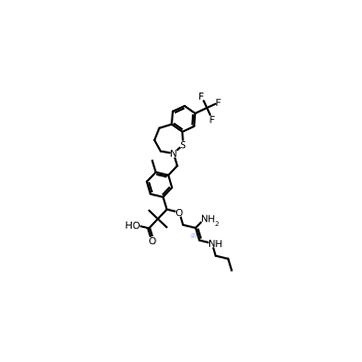 CCCN/C=C(\N)COC(c1ccc(C)c(CN2CCCc3ccc(C(F)(F)F)cc3S2)c1)C(C)(C)C(=O)O